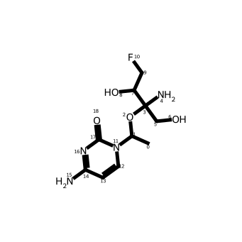 CC(OC(N)(CO)C(O)CF)n1ccc(N)nc1=O